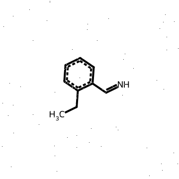 CCc1ccccc1C=N